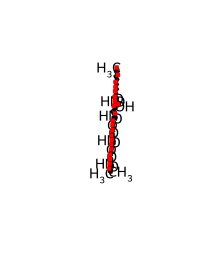 CCCCCCCCCCCCCC(=O)NC(CCCCNC(=O)CCOCCOCCNC(=O)CCOCCOCCNC(=O)CC(C)C)C(=O)O